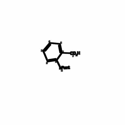 CCCCCc1ccccc1C(=O)O